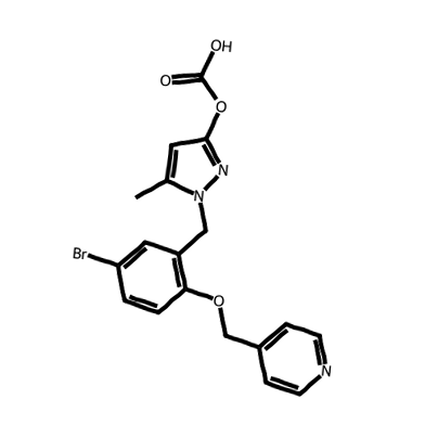 Cc1cc(OC(=O)O)nn1Cc1cc(Br)ccc1OCc1ccncc1